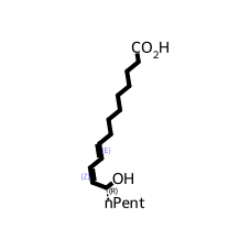 CCCCC[C@@H](O)/C=C\C=C\CCCCCCCC(=O)O